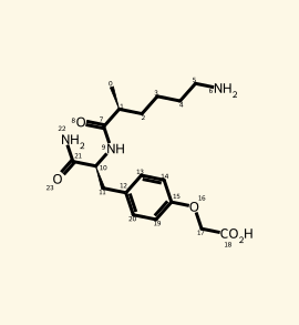 C[C@@H](CCCCN)C(=O)N[C@@H](Cc1ccc(OCC(=O)O)cc1)C(N)=O